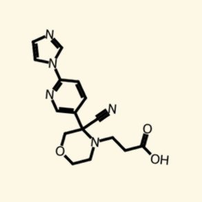 N#CC1(c2ccc(-n3ccnc3)nc2)COCCN1CCC(=O)O